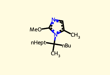 CCCCCCCC(C)(CCCC)n1c(C)cnc1OC